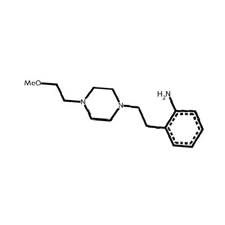 COCCN1CCN(CCc2ccccc2N)CC1